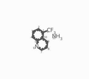 FC(F)(F)c1cccc2ncccc12.N